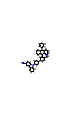 N#Cc1ccc2c(c1)c1ccccc1n2-c1ccc(-c2ccc(C#N)c(-c3c4ccccc4c(-c4ccccc4)c4ccccc34)c2)cc1